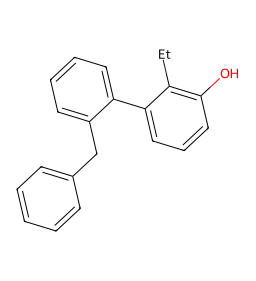 CCc1c(O)cccc1-c1ccccc1Cc1ccccc1